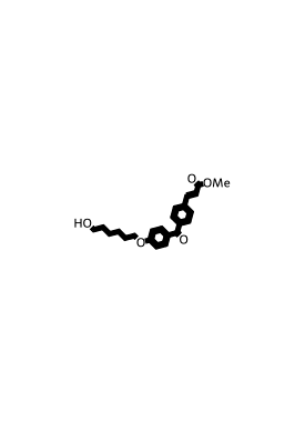 COC(=O)/C=C/c1ccc(C(=O)c2ccc(OCCCCCCO)cc2)cc1